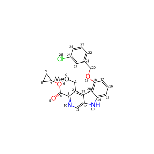 COCc1c(C(=O)OC2CC2)ncc2[nH]c3cccc(OCc4cccc(Cl)c4)c3c12